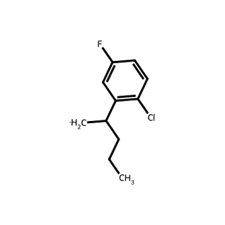 [CH2]C(CCC)c1cc(F)ccc1Cl